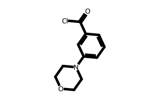 O=C(Cl)c1cccc(N2CCOCC2)c1